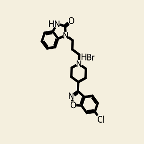 Br.O=c1[nH]c2ccccc2n1CCCN1CCC(c2noc3cc(Cl)ccc23)CC1